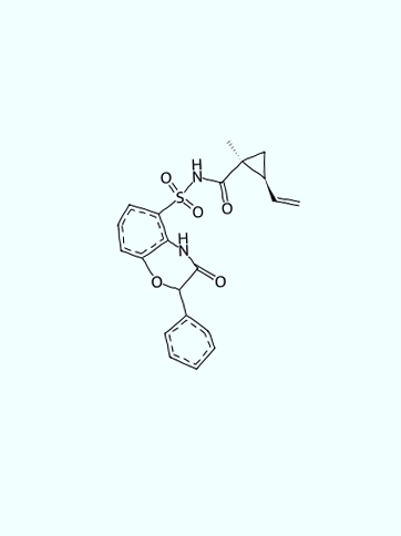 C=C[C@@H]1C[C@]1(C)C(=O)NS(=O)(=O)c1cccc2c1NC(=O)C(c1ccccc1)O2